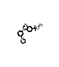 CC(C)OC(C)(C)c1ccc2c(c1)ncn2-c1cccc(N2CCCC2)c1